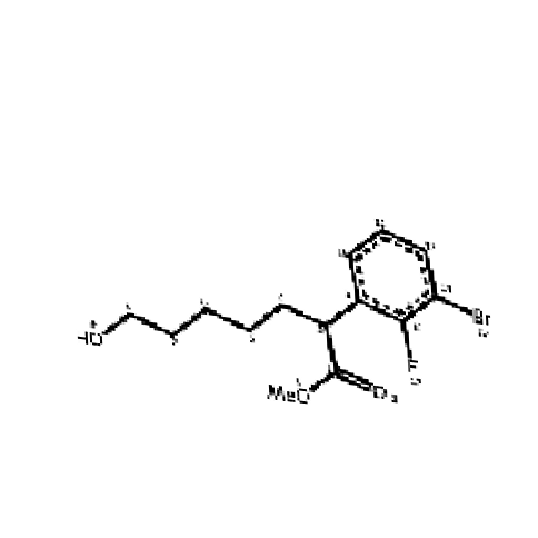 COC(=O)C(CCCCCO)c1cccc(Br)c1F